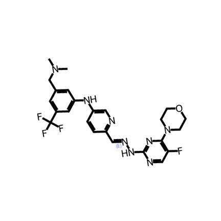 CN(C)Cc1cc(Nc2ccc(/C=N/Nc3ncc(F)c(N4CCOCC4)n3)nc2)cc(C(F)(F)F)c1